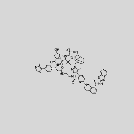 Cc1ncsc1-c1ccc([C@H](CC(=O)NCCNC(=O)c2nc(N3CCc4cccc(C(=O)Nc5nc6ccccc6s5)c4C3)ccc2-c2cnn(CC34CC5CC(CC(C5)C3)C4)c2C)NC(=O)[C@@H]2C[C@@H](O)CN2C(=O)[C@@H](NC(=O)C2(C#N)CC2)C(C)(C)C)cc1